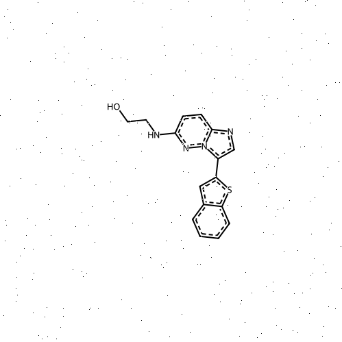 OCCNc1ccc2ncc(-c3cc4ccccc4s3)n2n1